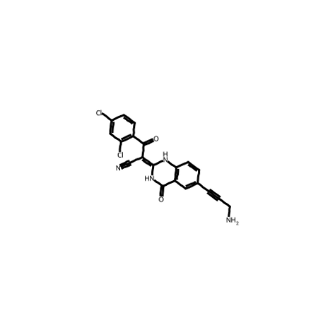 N#C/C(C(=O)c1ccc(Cl)cc1Cl)=C1\NC(=O)c2cc(C#CCN)ccc2N1